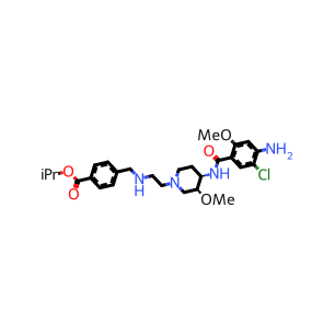 COc1cc(N)c(Cl)cc1C(=O)N[C@@H]1CCN(CCNCc2ccc(C(=O)OC(C)C)cc2)C[C@@H]1OC